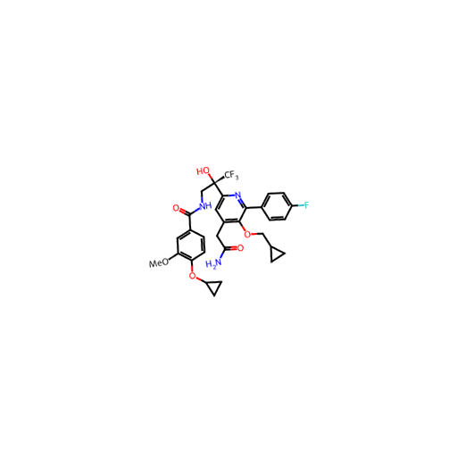 COc1cc(C(=O)NC[C@](O)(c2cc(CC(N)=O)c(OCC3CC3)c(-c3ccc(F)cc3)n2)C(F)(F)F)ccc1OC1CC1